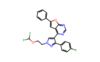 Fc1ccc(-c2nn(CCOC(F)F)cc2-c2ncnc3oc(-c4ccccc4)cc23)cc1